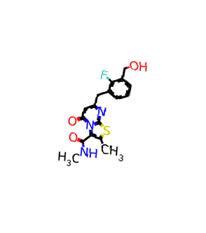 CNC(=O)c1c(C)sc2nc(Cc3cccc(CO)c3F)cc(=O)n12